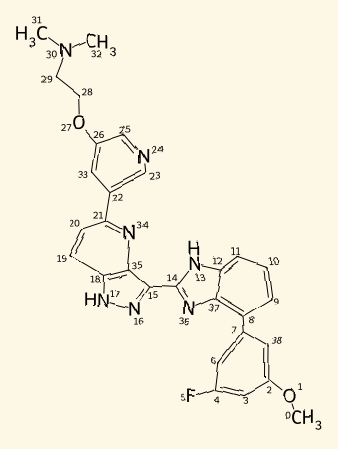 COc1cc(F)cc(-c2cccc3[nH]c(-c4n[nH]c5ccc(-c6cncc(OCCN(C)C)c6)nc45)nc23)c1